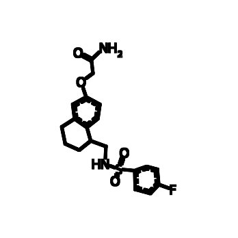 NC(=O)COc1ccc2c(c1)CCCC2CNS(=O)(=O)c1ccc(F)cc1